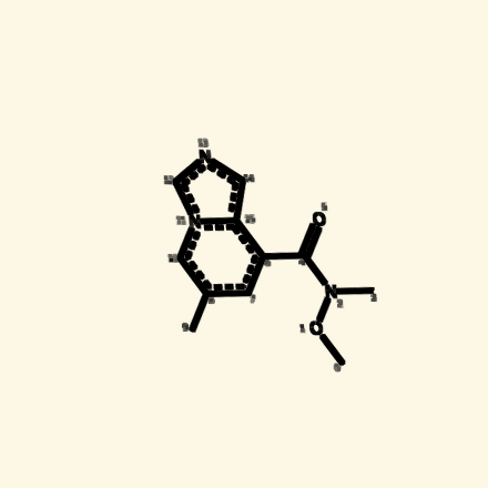 CON(C)C(=O)c1cc(C)cn2cncc12